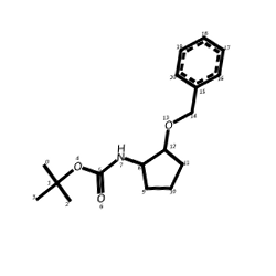 CC(C)(C)OC(=O)NC1CCCC1OCc1ccccc1